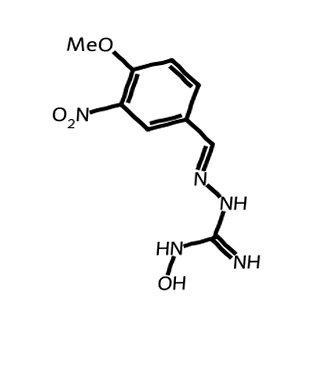 COc1ccc(C=NNC(=N)NO)cc1[N+](=O)[O-]